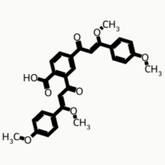 COC(=CC(=O)c1ccc(C(=O)O)c(C(=O)C=C(OC)c2ccc(OC)cc2)c1)c1ccc(OC)cc1